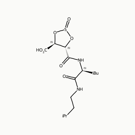 CCC(C)[C@H](NC(=O)[C@H]1OS(=O)O[C@@H]1C(=O)O)C(=O)NCCC(C)C